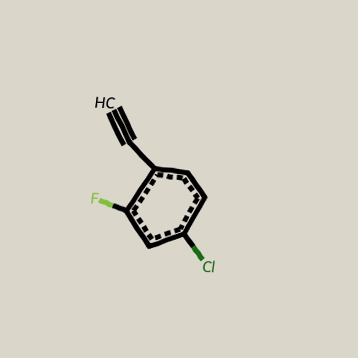 C#Cc1ccc(Cl)cc1F